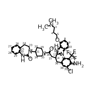 CN(C)CCCOc1cccc2nc(C(CC(=O)N3CCC(N4CCc5ccccc5NC4=O)CC3)Cc3cc(Cl)c(N)c(C(F)(F)F)c3)[nH]c12